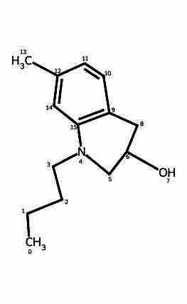 CCCCN1CC(O)Cc2ccc(C)cc21